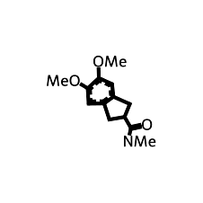 CNC(=O)C1Cc2cc(OC)c(OC)cc2C1